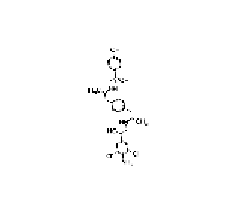 CC(Cc1ccc(CC(C)NC[C@H](O)c2ccc(O)cc2)cc1)NCC(O)c1cc(Cl)c(N)c(Cl)c1